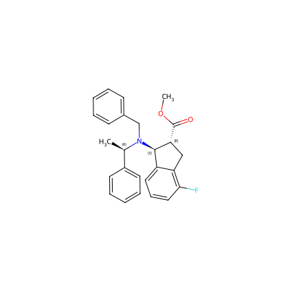 COC(=O)[C@@H]1Cc2c(F)cccc2[C@H]1N(Cc1ccccc1)[C@H](C)c1ccccc1